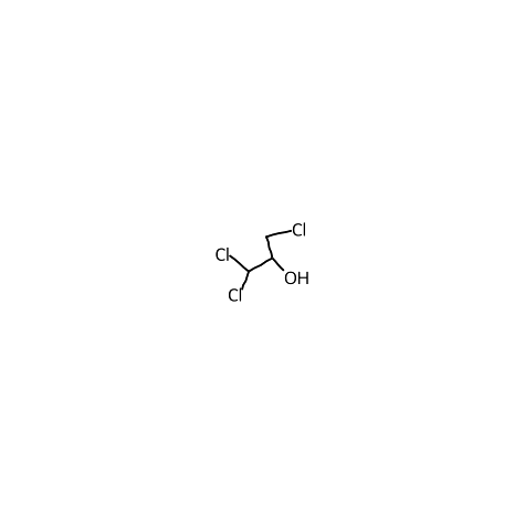 OC(CCl)C(Cl)Cl